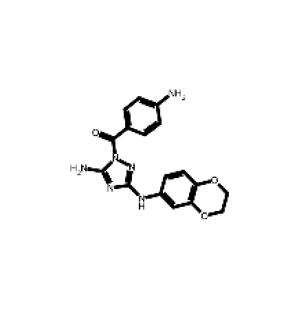 Nc1ccc(C(=O)n2nc(Nc3ccc4c(c3)OCCO4)nc2N)cc1